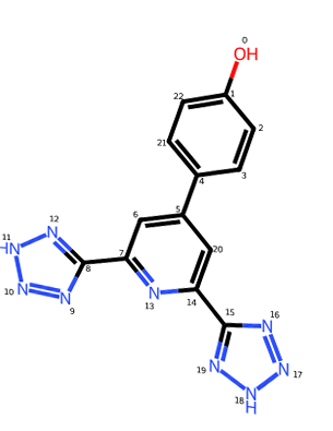 Oc1ccc(-c2cc(-c3nn[nH]n3)nc(-c3nn[nH]n3)c2)cc1